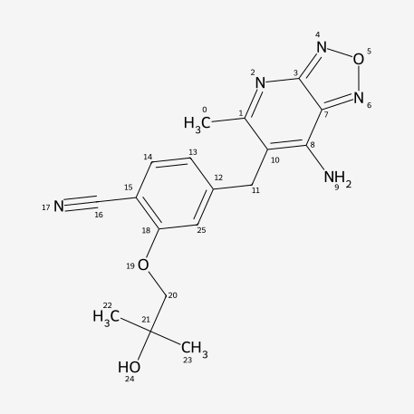 Cc1nc2nonc2c(N)c1Cc1ccc(C#N)c(OCC(C)(C)O)c1